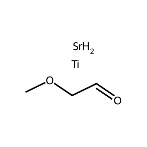 COCC=O.[SrH2].[Ti]